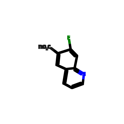 CCOC(=O)c1cc2cccnc2cc1F